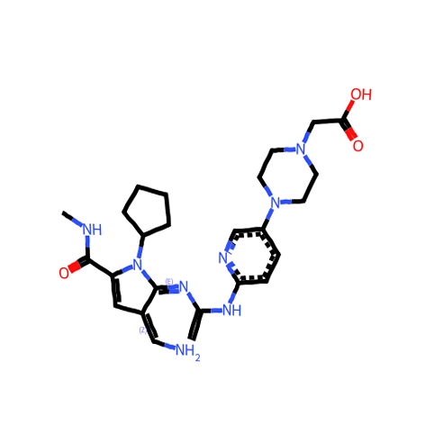 C=C(/N=C1\C(=C/N)C=C(C(=O)NC)N1C1CCCC1)Nc1ccc(N2CCN(CC(=O)O)CC2)cn1